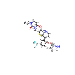 Cc1cc(C(F)F)cc(-c2ccnc3cc(Cn4c(=O)ccn(C)c4=O)sc23)c1O[C@H]1CCCNC1